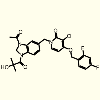 CC(=O)N1CN(C(=O)C(C)(C)O)c2ccc(Cn3ccc(OCc4ccc(F)cc4F)c(Cl)c3=O)cc21